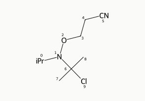 CC(C)N(OCCC#N)C(C)(C)Cl